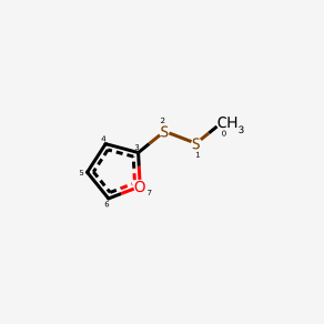 CSSc1ccco1